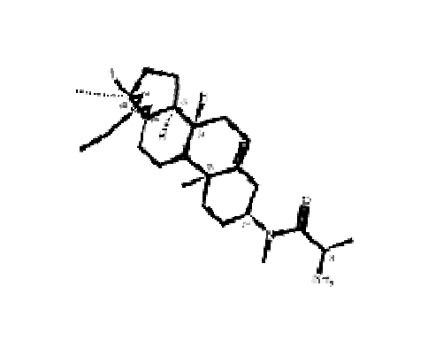 C[C@@H](N)C(=O)N(C)[C@H]1CC[C@@]2(C)C(=CC[C@@H]3C2CC[C@]24CN(C)[C@@H](C)[C@H]2CC[C@@H]34)C1